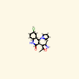 Cc1noc(C)c1-c1c(-n2cccc2)c2cc(Cl)ccc2[nH]c1=O